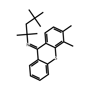 Cc1ccc2c(=NC(C)(C)CC(C)(C)C)c3ccccc3sc2c1C